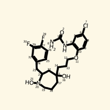 NC(=O)Nc1cc(Cl)ccc1OCCCC1(O)CCCN(O)C(Cc2ccc(F)c(F)c2)C1